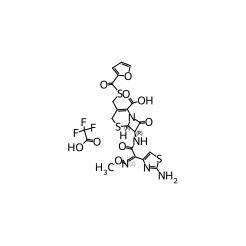 CO/N=C(\C(=O)N[C@@H]1C(=O)N2C(C(=O)O)=C(CSC(=O)c3ccco3)CS[C@H]12)c1csc(N)n1.O=C(O)C(F)(F)F